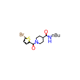 CCCCNC(=O)C1CCN(C(=O)c2ccc(Br)s2)CC1